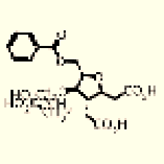 C=C1[C@@H](CC(=O)O)C(CC(=O)O)O[C@@H]1COC(=O)c1ccccc1.CC(=O)O.CC(=O)O